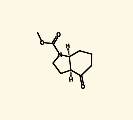 COC(=O)N1CC[C@@H]2C(=O)CCC[C@@H]21